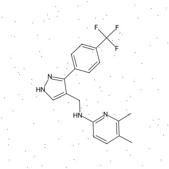 Cc1ccc(NCc2c[nH]nc2-c2ccc(C(F)(F)F)cc2)nc1C